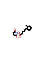 Cc1ccccc1CCCCC(=O)ON1C(=O)CCC1=O